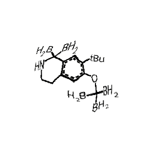 BC(B)(B)Oc1cc2c(cc1C(C)(C)C)C(B)(B)NCC2